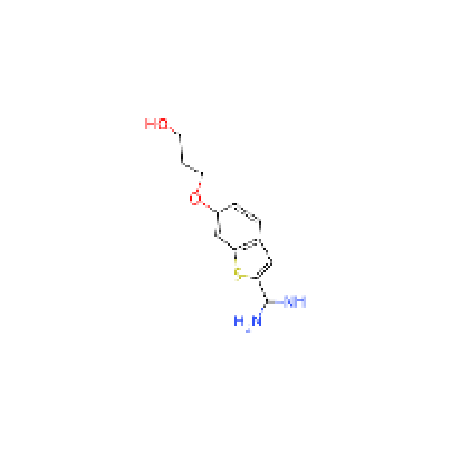 N=C(N)c1cc2ccc(OCCCO)cc2s1